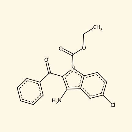 CCOC(=O)n1c(C(=O)c2ccccc2)c(N)c2cc(Cl)ccc21